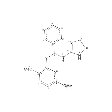 COc1ccc(OC)c(CC(NC2=NCCN2)c2ccccc2)c1